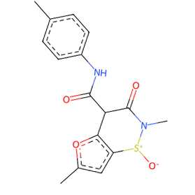 Cc1ccc(NC(=O)C2C(=O)N(C)[S+]([O-])c3cc(C)oc32)cc1